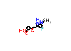 CCNc1cc(F)cc2c(C=CC(=O)c3cccc(C(=O)O)c3)c[nH]c12